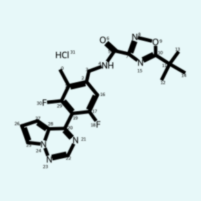 Cc1c(CNC(=O)c2noc(C(C)(C)C)n2)cc(F)c(-c2ncnn3cccc23)c1F.Cl